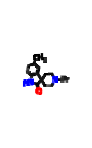 Cc1ccc2c(c1)C1(CCN(C(C)C)CC1)C(=O)N2